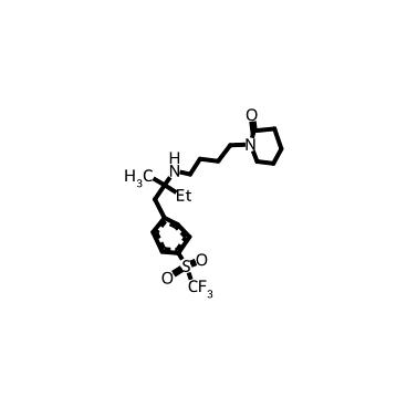 CCC(C)(Cc1ccc(S(=O)(=O)C(F)(F)F)cc1)NCCCCN1CCCCC1=O